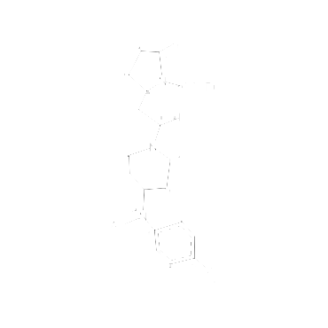 CCOC(=O)N1C(C)CCC1CC(CC)N1CCC(N(C(C)=O)c2ccc(Cl)cc2)CC1